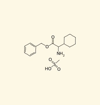 CS(=O)(=O)O.NC(C(=O)OCc1ccccc1)C1CCCCC1